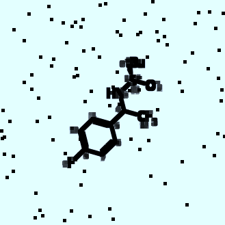 CC(C)(C)[S@@+]([O-])NC(c1ccc(F)cc1)C(F)(F)F